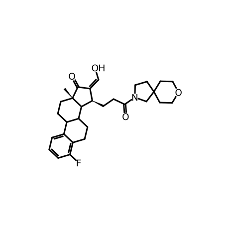 C[C@]12CCC3c4cccc(F)c4CCC3C1[C@H](CCC(=O)N1CCC3(CCOCC3)C1)/C(=C/O)C2=O